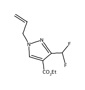 C=CCn1cc(C(=O)OCC)c(C(F)F)n1